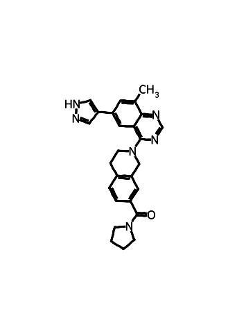 Cc1cc(-c2cn[nH]c2)cc2c(N3CCc4ccc(C(=O)N5CCCC5)cc4C3)ncnc12